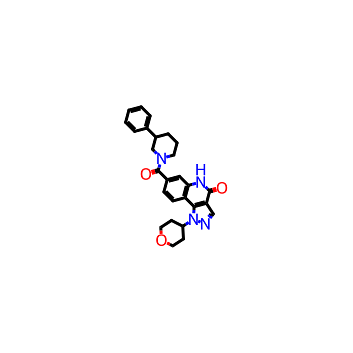 O=C(c1ccc2c(c1)[nH]c(=O)c1cnn(C3CCOCC3)c12)N1CCCC(c2ccccc2)C1